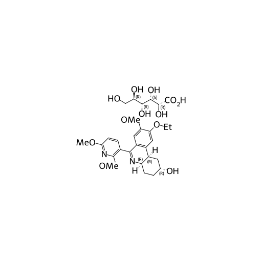 CCOc1cc2c(cc1OC)C(c1ccc(OC)nc1OC)=N[C@@H]1CC[C@@H](O)C[C@H]21.O=C(O)[C@H](O)[C@@H](O)[C@H](O)[C@H](O)CO